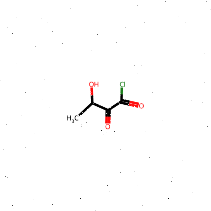 CC(O)C(=O)C(=O)Cl